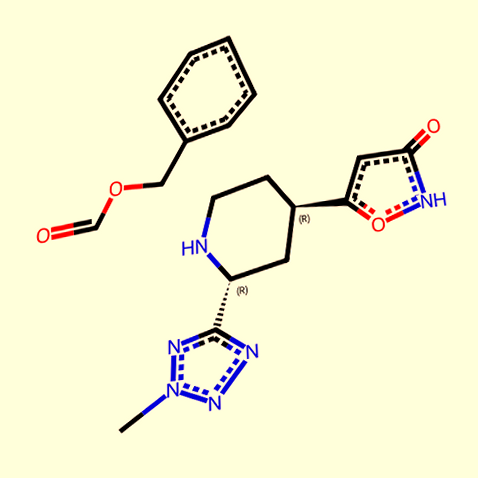 Cn1nnc([C@H]2C[C@H](c3cc(=O)[nH]o3)CCN2)n1.O=COCc1ccccc1